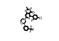 Cc1nc2cc(N3CCO[C@H](c4cccc(C(F)(F)F)c4)C3)nc(-c3ccc(Cl)cc3F)c2c(=O)n1C